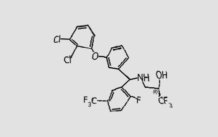 O[C@H](CNC(c1cccc(Oc2cccc(Cl)c2Cl)c1)c1cc(C(F)(F)F)ccc1F)C(F)(F)F